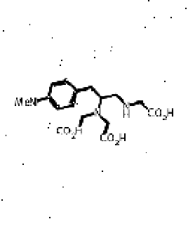 CNc1ccc(CC(CNCC(=O)O)N(CC(=O)O)CC(=O)O)cc1